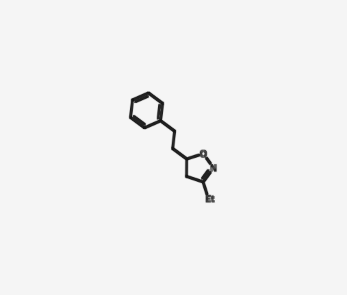 [CH2]CC1=NOC(CCc2ccccc2)C1